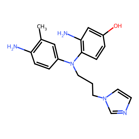 Cc1cc(N(CCCn2ccnc2)c2ccc(O)cc2N)ccc1N